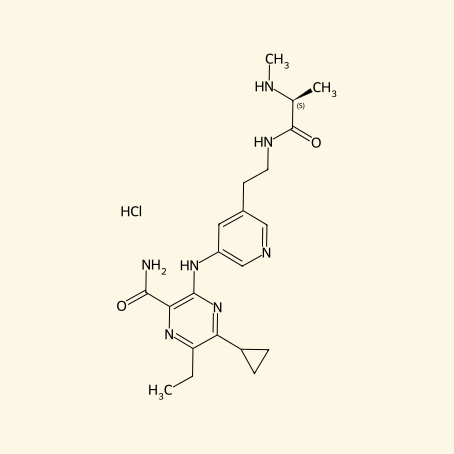 CCc1nc(C(N)=O)c(Nc2cncc(CCNC(=O)[C@H](C)NC)c2)nc1C1CC1.Cl